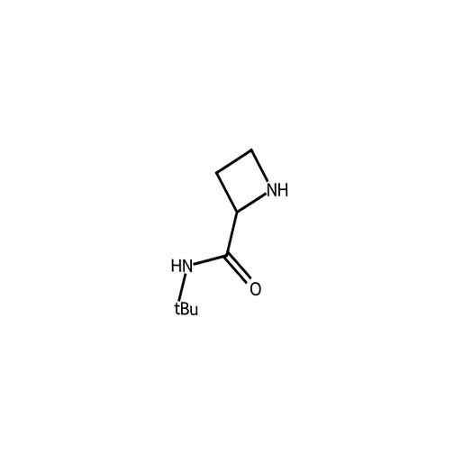 CC(C)(C)NC(=O)C1CCN1